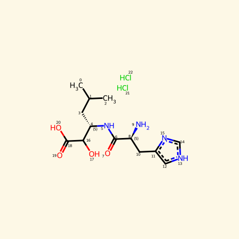 CC(C)C[C@H](NC(=O)[C@@H](N)Cc1c[nH]cn1)C(O)C(=O)O.Cl.Cl